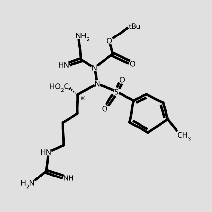 Cc1ccc(S(=O)(=O)N([C@H](CCCNC(=N)N)C(=O)O)N(C(=N)N)C(=O)OC(C)(C)C)cc1